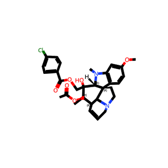 CC[C@]12C=CCN3CC[C@@]4(c5ccc(OC)cc5N(C)[C@H]4C(O)(COC(=O)c4ccc(Cl)cc4)[C@@H]1OC(C)=O)C32